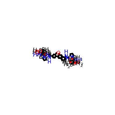 BC(B)(B)C(B)(C(B)(B)B)[C@](B)(NC(=O)OC)C(=O)N1[C@@H](C)CC[C@H]1c1ncc(-c2ccc3c(c2)COc2cc4c(ccc5nc([C@@H]6CC[C@H](C)N6C(=O)[C@@](B)(NC(=O)OC)C(B)(C(B)(B)B)C(B)(B)B)[nH]c54)cc2-3)[nH]1